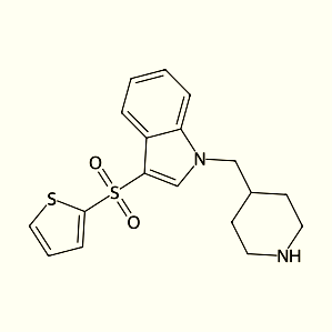 O=S(=O)(c1cccs1)c1cn(CC2CCNCC2)c2ccccc12